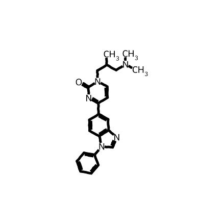 CC(CN(C)C)Cn1ccc(-c2ccc3c(c2)ncn3-c2ccccc2)nc1=O